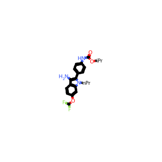 CCCn1c(-c2ccc(NC(=O)OC(C)C)cc2)c(N)c2ccc(OC(F)F)cc21